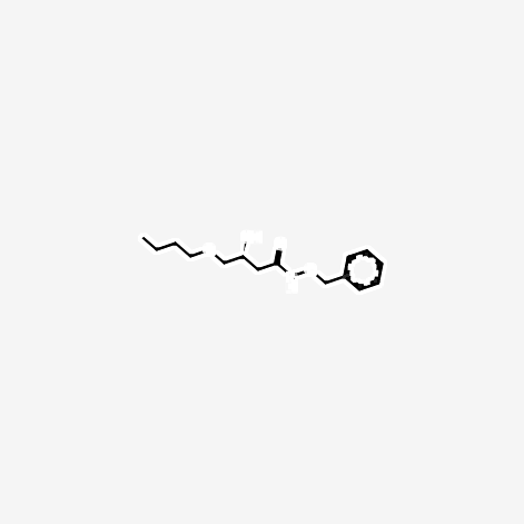 CCCCOC[C@@H](O)CC(=O)NOCc1ccccc1